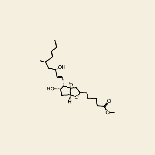 CCCC[C@H](C)C[C@H](O)/C=C/[C@@H]1[C@H]2CC(CCCCC(=O)OC)O[C@@H]2C[C@H]1O